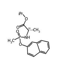 CC(C)OC(=O)[C@H](C)NP(C)(=O)Oc1ccc2ccccc2c1